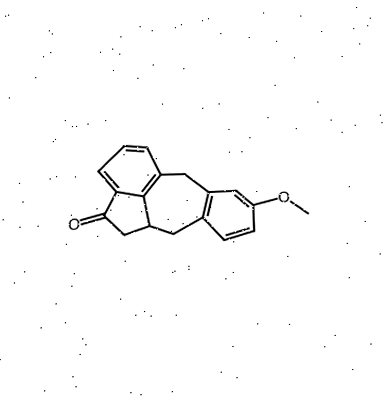 COc1ccc2c(c1)Cc1cccc3c1C(CC3=O)C2